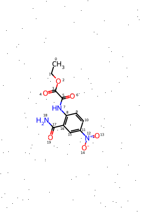 CCOC(=O)C(=O)Nc1ccc([N+](=O)[O-])cc1C(N)=O